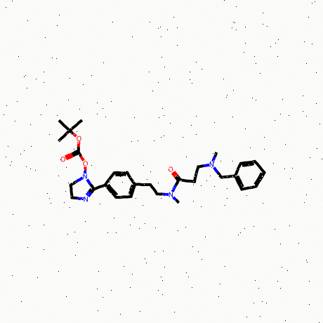 CN(CCC(=O)N(C)CCc1ccc(C2=NCCN2OC(=O)OC(C)(C)C)cc1)Cc1ccccc1